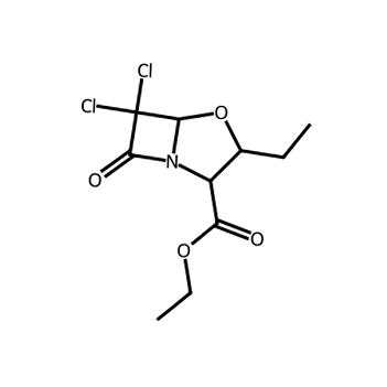 CCOC(=O)C1C(CC)OC2N1C(=O)C2(Cl)Cl